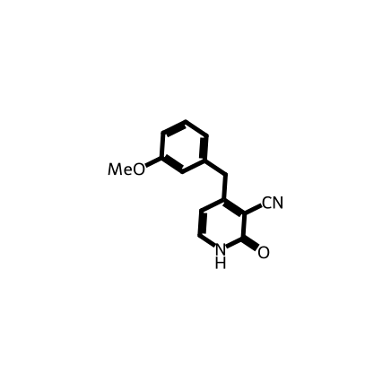 COc1cccc(Cc2cc[nH]c(=O)c2C#N)c1